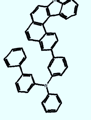 c1ccc(-c2cccc(N(c3ccccc3)c3cccc(-c4ccc5c(ccc6ccc7oc8ccccc8c7c65)c4)c3)c2)cc1